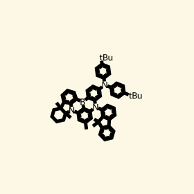 Cc1cc2c3c(c1)N1c4c(cccc4C4(C)CCCCC14C)B3c1ccc(N(c3ccc(C(C)(C)C)cc3)c3ccc(C(C)(C)C)cc3)cc1N2c1cccc2c1C(C)(C)c1ccccc1-2